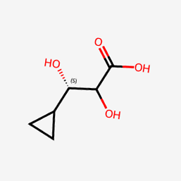 O=C(O)C(O)[C@@H](O)C1CC1